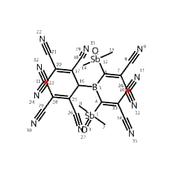 [CH3][Sb]([CH3])(=[O])[C](B([C](=C(C#N)C#N)[Sb]([CH3])([CH3])=[O])C(C(C#N)=C(C#N)C#N)C(C#N)=C(C#N)C#N)=C(C#N)C#N